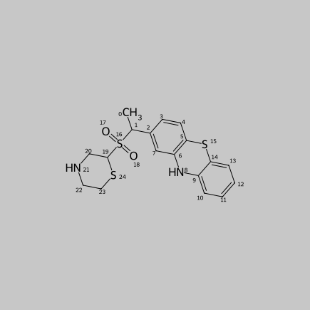 CC(c1ccc2c(c1)Nc1ccccc1S2)S(=O)(=O)C1CNCCS1